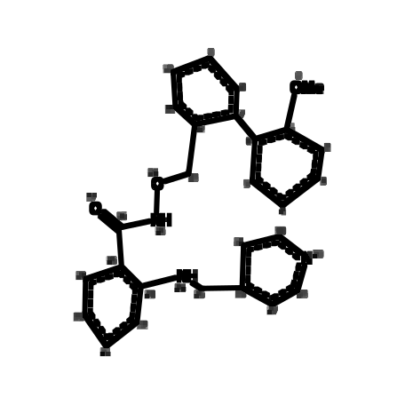 COc1ccccc1-c1ccccc1CONC(=O)c1ccccc1NCc1ccncc1